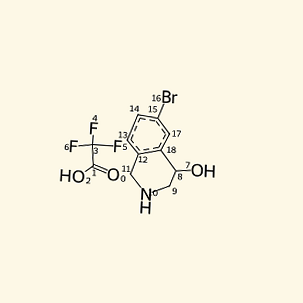 O=C(O)C(F)(F)F.OC1CNCc2ccc(Br)cc21